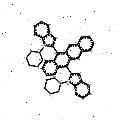 c1ccc2cc3c(-c4cc5ccccc5n4C4CCCCC4)c4ccccc4c(-c4cc5ccccc5n4C4CCCCC4)c3cc2c1